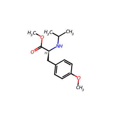 COC(=O)[C@H](Cc1ccc(OC)cc1)NC(C)C